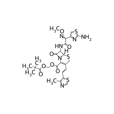 CON=C(C(=O)NC1C(=O)N2C(C(=O)OCOC(=O)C(C)(C)C)=C(C=Cc3scnc3C)CS[C@@H]12)c1csc(N)n1